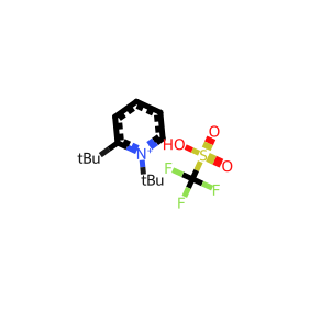 CC(C)(C)c1cccc[n+]1C(C)(C)C.O=S(=O)(O)C(F)(F)F